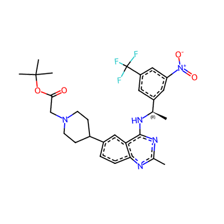 Cc1nc(N[C@H](C)c2cc([N+](=O)[O-])cc(C(F)(F)F)c2)c2cc(C3CCN(CC(=O)OC(C)(C)C)CC3)ccc2n1